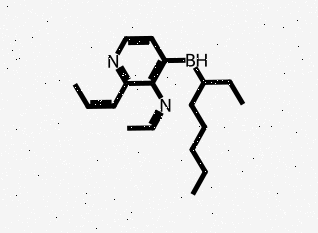 C/C=C\c1nccc(BC(CC)CCCCC)c1/N=C\C